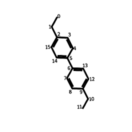 CCc1ccc(-c2ccc(CC)cc2)cc1